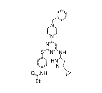 CCC(=O)Nc1ccc(Sc2nc(NC3CC(C4CC4)=NN3)cc(N3CCN(Cc4ccccc4)CC3)n2)cc1